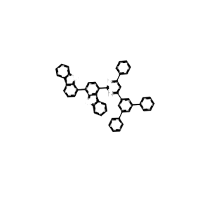 c1ccc(-c2cc(-c3ccccc3)cc(-c3cc(-c4ccccc4)nc(-c4ccc(-c5cccc6c5oc5ccccc56)c5oc6ccccc6c45)n3)c2)cc1